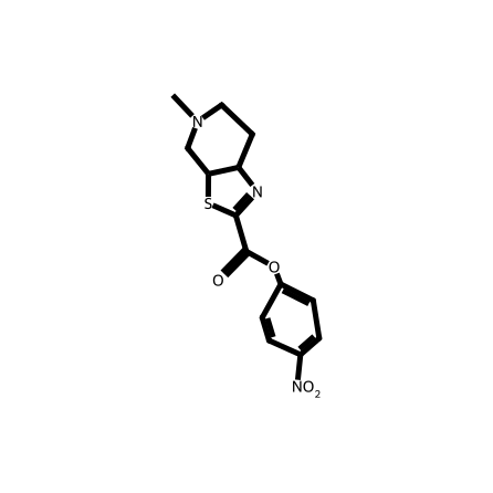 CN1CCC2N=C(C(=O)Oc3ccc([N+](=O)[O-])cc3)SC2C1